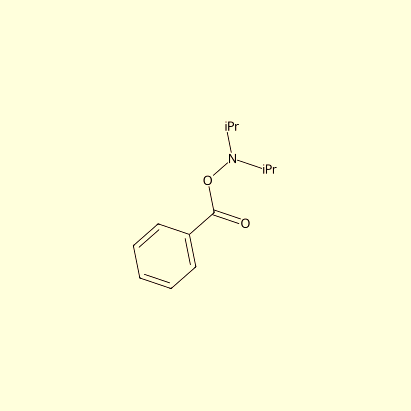 CC(C)N(OC(=O)c1ccccc1)C(C)C